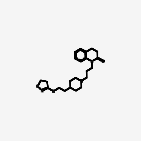 O=C1CCc2ccccc2N1CCCN1CCC(CCOC2=NOCC2)CC1